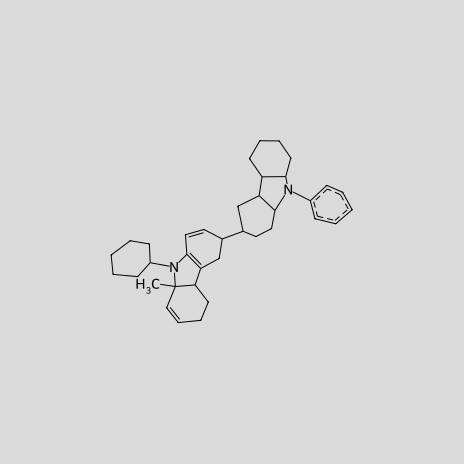 CC12C=CCCC1C1=C(C=CC(C3CCC4C(C3)C3CCCCC3N4c3ccccc3)C1)N2C1CCCCC1